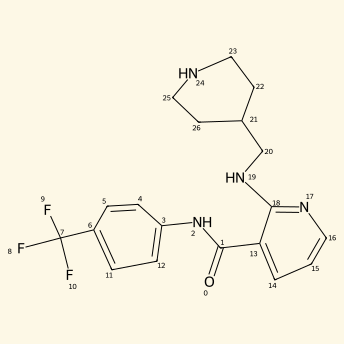 O=C(Nc1ccc(C(F)(F)F)cc1)c1cccnc1NCC1CCNCC1